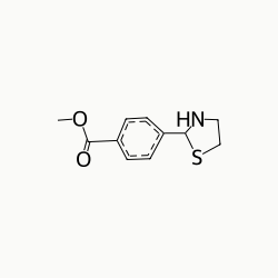 COC(=O)c1ccc(C2NCCS2)cc1